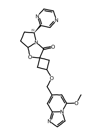 COc1cc(COC2CC3(C2)OC2CC[C@@H](c4cnccn4)N2C3=O)cc2nccn12